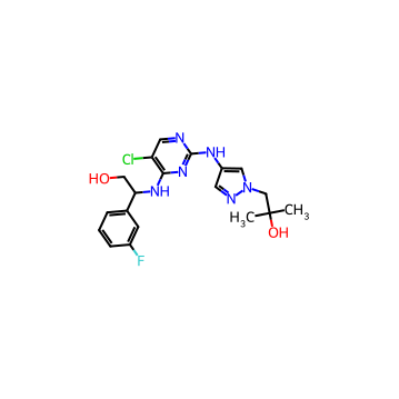 CC(C)(O)Cn1cc(Nc2ncc(Cl)c(NC(CO)c3cccc(F)c3)n2)cn1